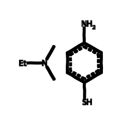 CCN(C)C.Nc1ccc(S)cc1